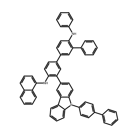 c1ccc(Nc2ccc(-c3ccc(Nc4cccc5ccccc45)c(-c4ccc5c(c4)c4ccccc4n5-c4ccc(-c5ccccc5)cc4)c3)cc2-c2ccccc2)cc1